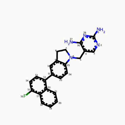 Nc1ncc(CN2CCc3cc(-c4ccc(F)c5ccccc45)ccc32)c(N)n1